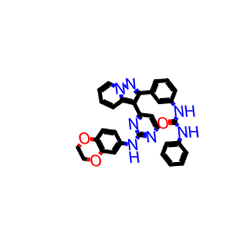 O=C(Nc1ccccc1)Nc1cccc(-c2nn3ccccc3c2-c2ccnc(Nc3ccc4c(c3)OCCO4)n2)c1